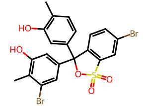 Cc1ccc(C2(c3cc(O)c(C)c(Br)c3)OS(=O)(=O)c3cc(Br)ccc32)cc1O